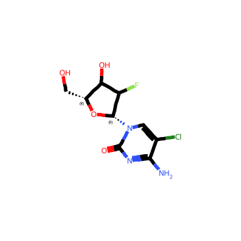 Nc1nc(=O)n([C@@H]2O[C@H](CO)C(O)C2F)cc1Cl